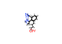 N#Cc1cccc(CCCCO)c1-c1ccn[nH]1